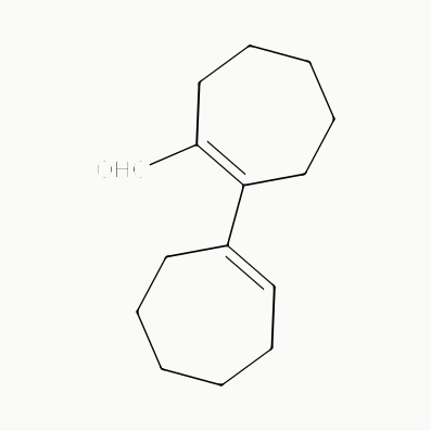 O=CC1=C(C2=CCCCCC2)CCCCC1